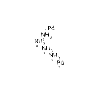 N.N.N.N.[Pd].[Pd]